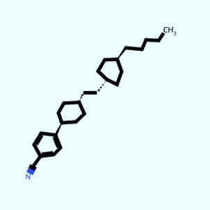 CCCCC[C@H]1CC[C@H](CC[C@H]2CC[C@H](c3ccc(C#N)cc3)CC2)CC1